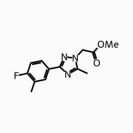 COC(=O)Cn1nc(-c2ccc(F)c(C)c2)nc1C